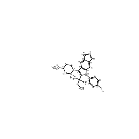 CC(C)(CC#N)c1c([C@H]2CCC(C(=O)O)OC2)c2cc3[nH]ncc3cc2n1-c1ccc(F)cc1